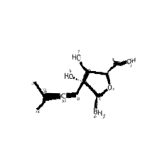 B[C@@H]1O[C@H](CO)C(O)[C@]1(O)C=C=C(C)C